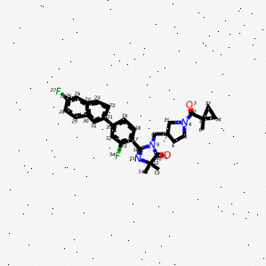 CC1(C(=O)N2CCC(CN3C(=O)C(C)(C)N=C3c3ccc(-c4ccc5cc(F)ccc5c4)cc3F)C2)CC1